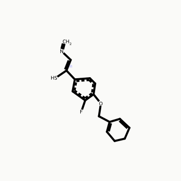 C=N/C=C(\S)c1ccc(OCC2=CCCC=C2)c(F)c1